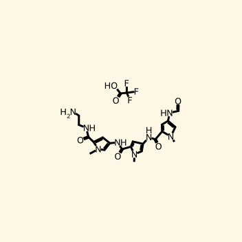 Cn1cc(NC(=O)c2cc(NC(=O)c3cc(NC=O)cn3C)cn2C)cc1C(=O)NCCN.O=C(O)C(F)(F)F